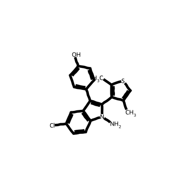 Cc1csc(C)c1-c1c(-c2ccc(O)cc2)c2cc(Cl)ccc2n1N